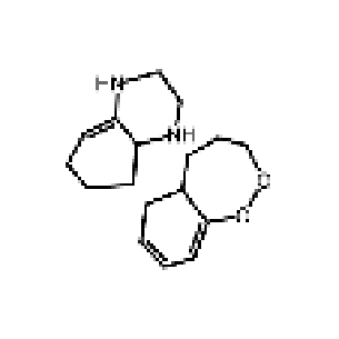 C1=C2NCCNC2CCC1.C1=CCC2CCCOOC2=C1